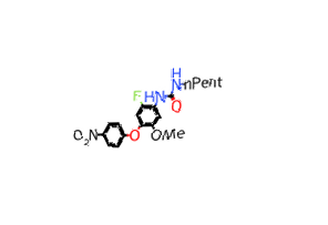 CCCCCNC(=O)Nc1cc(OC)c(Oc2ccc([N+](=O)[O-])cc2)cc1F